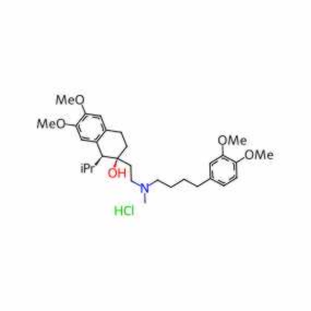 COc1ccc(CCCCN(C)CC[C@@]2(O)CCc3cc(OC)c(OC)cc3[C@@H]2C(C)C)cc1OC.Cl